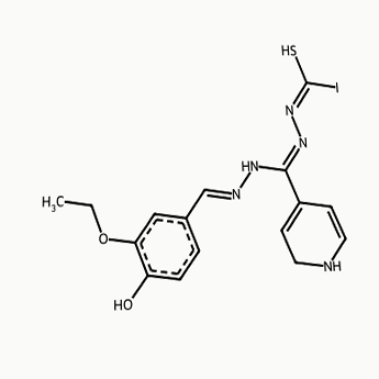 CCOc1cc(/C=N/N/C(=N\N=C(\S)I)C2=CCNC=C2)ccc1O